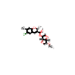 CC(C)(C)c1cc2c(cc1Cl)C=C(C(=O)O[C@H]1CO[C@H]3[C@@H]1OC[C@H]3O[N+](=O)[O-])[C@@H](C(F)(F)F)O2